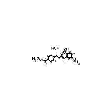 CCOC(=O)C1CCN(CCC(=O)Nc2cc(OC)ccc2OC)CC1.Cl